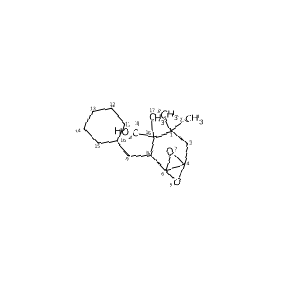 CC1(C)CC23OC2(O3)C(CC2CCCCC2)C1(C)C(=O)O